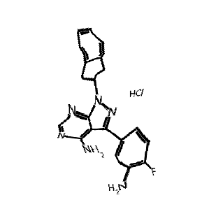 Cl.Nc1cc(-c2nn(C3Cc4ccccc4C3)c3ncnc(N)c23)ccc1F